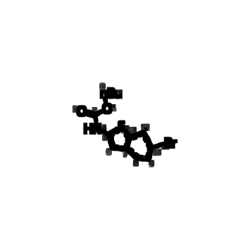 CCCCOC(=O)Nc1cc2ccc(Br)cc2s1